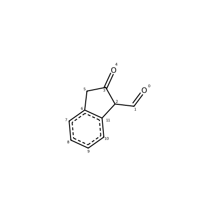 O=CC1C(=O)Cc2ccccc21